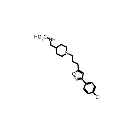 O=C(O)NCC1CCN(CCCc2cc(-c3ccc(Cl)cc3)no2)CC1